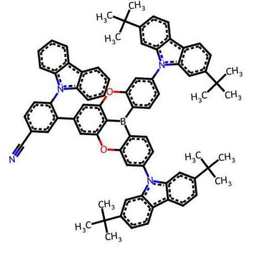 CC(C)(C)c1ccc2c3ccc(C(C)(C)C)cc3n(-c3ccc4c(c3)Oc3cc(-c5cc(C#N)ccc5-n5c6ccccc6c6ccccc65)cc5c3B4c3ccc(-n4c6cc(C(C)(C)C)ccc6c6ccc(C(C)(C)C)cc64)cc3O5)c2c1